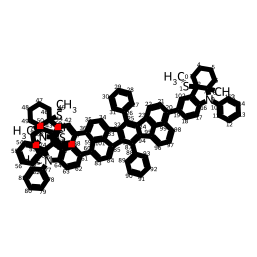 CSC12CCCCC1(C)N(c1ccccc1)c1ccc(-c3ccc4c5c(-c6ccccc6)c6c7ccc(-c8ccc9c(c8)C8(SC)CCCCC8(C)N9c8ccccc8)c8c(-c9ccc%10c(c9)C9(SC)CCCCC9(C)N%10c9ccccc9)ccc(c6c(-c6ccccc6)c5c5cccc3c54)c87)cc12